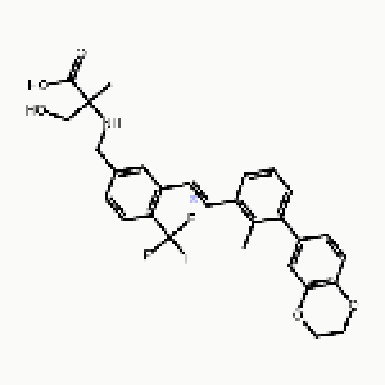 Cc1c(/C=C/c2cc(CNC(C)(CO)C(=O)O)ccc2C(F)(F)F)cccc1-c1ccc2c(c1)OCCO2